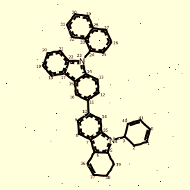 C1=CCC(n2c3c(c4ccc(-c5ccc6c(c5)c5ccccc5n6-c5cccc6ccccc56)cc42)C=CCC3)C=C1